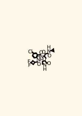 O=C(NC1CC1)C(=O)C(C[C@@H]1CCNC1=O)NC(=O)c1cc(Cl)ccc1NC(=O)C1CC(F)(F)C1